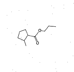 CCCOC(=O)C1CCCC1C